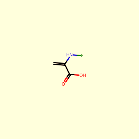 C=C(NF)C(=O)O